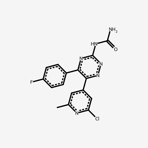 Cc1cc(-c2nnc(NC(N)=O)nc2-c2ccc(F)cc2)cc(Cl)n1